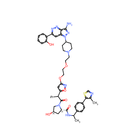 Cc1ncsc1-c1ccc(C(C)NC(=O)[C@@H]2C[C@@H](O)CN2C(=O)C(c2cc(OCCOCCN3CCC(n4nc(N)c5nnc(-c6ccccc6O)cc54)CC3)no2)C(C)C)cc1